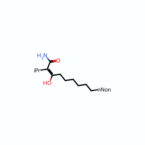 CCCCCCCCCCCCCCCC(O)=C(C(N)=O)C(C)C